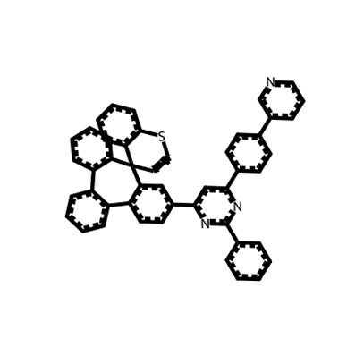 c1ccc(-c2nc(-c3ccc(-c4cccnc4)cc3)cc(-c3ccc4c(c3)C3(c5ccccc5Sc5ccccc53)c3ccccc3-c3ccccc3-4)n2)cc1